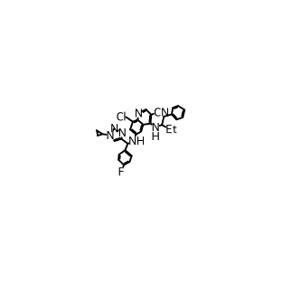 CCC(Cc1ccccc1)Nc1c(C#N)cnc2c(Cl)cc(NC(c3ccc(F)cc3)c3cn(C4CC4)nn3)cc12